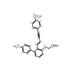 COCOc1cccc(-c2ccc(C)cc2)c1/C=C/C#Cc1ccc(C(=O)O)cc1